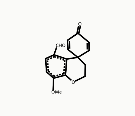 COc1ccc(C=O)c2c1OCCC21C=CC(=O)C=C1